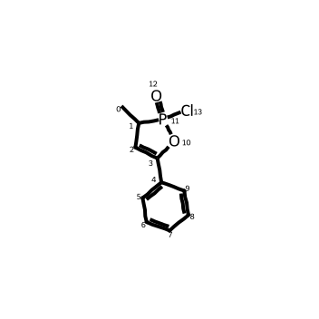 CC1C=C(c2ccccc2)OP1(=O)Cl